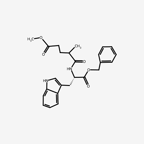 COC(=O)CCC(C)C(=O)N[C@@H](Cc1c[nH]c2ccccc12)C(=O)OCc1ccccc1